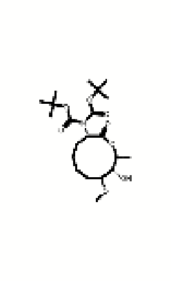 CO[C@H]1CCCC[C@H](N(C(=O)OC(C)(C)C)C(=O)OC(C)(C)C)C(=O)O[C@@H](C)[C@@H]1O